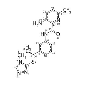 C[C@H](Sc1nncn1C)c1cccc(NC(=O)c2nc(C(F)(F)F)ccc2N)c1